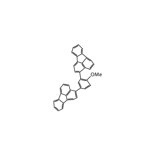 COc1ccc(-c2ccc3c4c(cccc24)-c2ccccc2-3)cc1-c1ccc2c3c(cccc13)-c1ccccc1-2